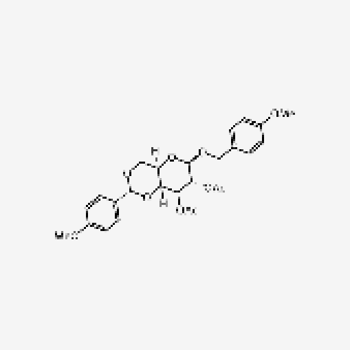 COc1ccc(CO[C@@H]2O[C@@H]3CO[C@@H](c4ccc(OC)cc4)O[C@H]3[C@H](OC(C)=O)[C@H]2OC(C)=O)cc1